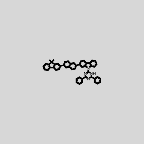 CC1(C)c2ccccc2-c2ccc(-c3ccc4cc(-c5ccc6c7ccccc7n(C7=NC(c8ccccc8)=NC(c8ccccc8)N7)c6c5)ccc4c3)cc21